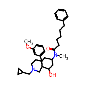 COc1cccc(C23CCN(CC4CC4)CC2C(O)CC(N(C)C(=O)CCCCCc2ccccc2)C3)c1